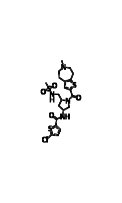 CN1CCc2cc(C(=O)N3CC(NC(=O)c4ccc(Cl)s4)CC3CNS(C)(=O)=O)sc2CC1